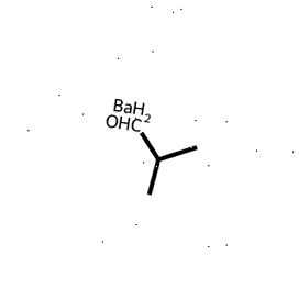 CC(C)C=O.[BaH2]